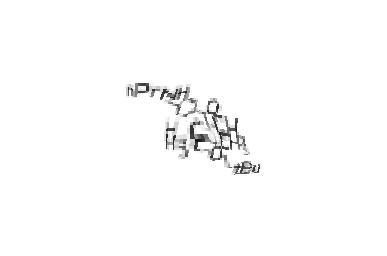 CCCNCc1ccc(C(=O)C(C)(C)C(C)(C)OCCC(C)(C)C)cc1